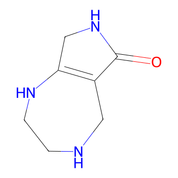 O=C1NCC2=C1CNCCN2